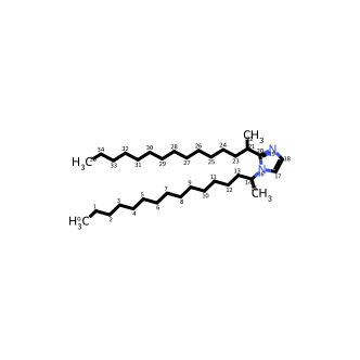 CCCCCCCCCCCCCCC(C)n1ccnc1C(C)CCCCCCCCCCCCC